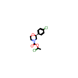 CC(Cl)OC(=O)N1CCO[C@@H](c2ccc(Cl)cc2)C1